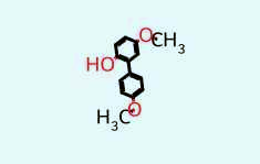 COc1ccc(-c2cc(OC)ccc2O)cc1